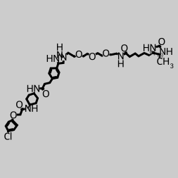 C[C@@H]1NC(=O)N[C@@H]1CCCCCC(=O)NCCOCCOCCOCCN1CC(c2ccc(CCC(=O)N[C@H]3CC[C@H](NC(=O)COc4ccc(Cl)cc4)CC3)cc2)NN1